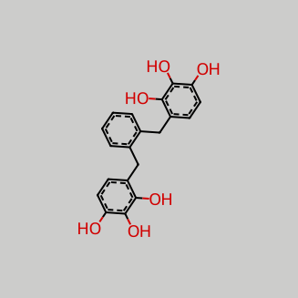 Oc1ccc(Cc2ccccc2Cc2ccc(O)c(O)c2O)c(O)c1O